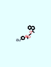 CCC(C)c1ccc(OC(C)OCCOC(C)c2cccc3ccccc23)cc1